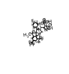 CC(O[C@H]1OCCN(Cc2n[nH]c(=O)n2P(=O)(O)O)[C@H]1c1ccc(F)cc1)c1cc(C(F)(F)F)cc(C(F)(F)F)c1